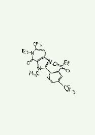 CCn1c(C(F)(F)F)cc2nc(-c3ncc(C(F)(F)F)cc3S(=O)(=O)CC)n(C)c2c1=O